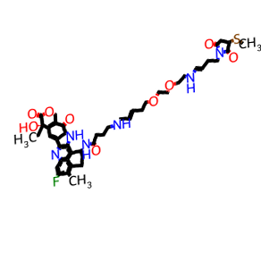 CC[C@@]1(O)C(=O)OCC2=C1C=C1c3nc4cc(F)c(C)c5c4c(c3NC1C2=O)[C@@H](NC(=O)CCCNCC=CCCOCCOCCNC=CCCN1C(=O)CC(SC)C1=O)CC5